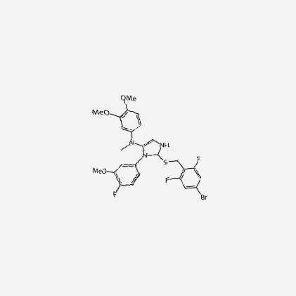 COc1cc(N2C(N(C)c3ccc(OC)c(OC)c3)=CNC2SCc2c(F)cc(Br)cc2F)ccc1F